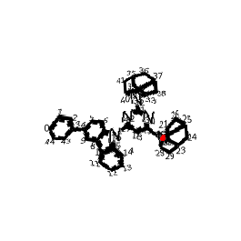 c1ccc(-c2ccc3c(c2)c2ccccc2n3-c2cc(N3C4CC5CC(C4)CC3C5)nc(N3C4CC5CC(C4)CC3C5)n2)cc1